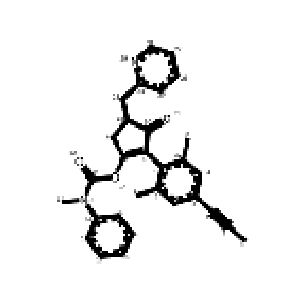 CC#Cc1cc(C)c(C2=C(OC(=O)N(C)c3ccccc3)CC(Cc3ccccn3)C2=O)c(C)c1